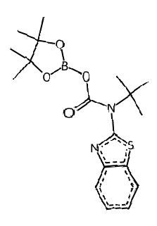 CC(C)(C)N(C(=O)OB1OC(C)(C)C(C)(C)O1)c1nc2ccccc2s1